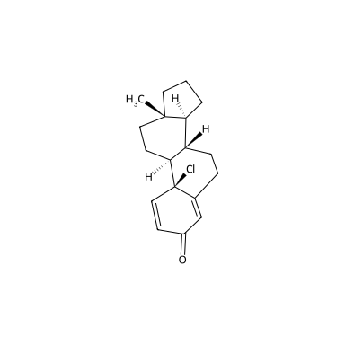 C[C@@]12CCC[C@H]1[C@@H]1CCC3=CC(=O)C=C[C@]3(Cl)[C@H]1CC2